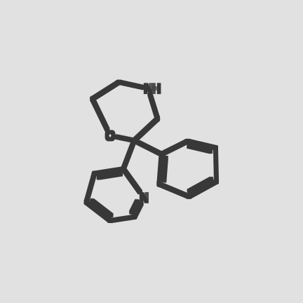 c1ccc(C2(c3ccccn3)CNCCO2)cc1